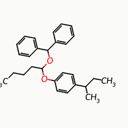 CCCCC(Oc1ccc(C(C)CC)cc1)OC(c1ccccc1)c1ccccc1